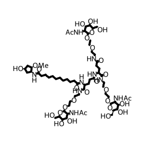 CO[C@H]1C[C@H](O)C[C@H]1NC(=O)CCCCCCCCCCC(=O)NC(CCC(=O)NC(CCC(=O)NCCOCCOC1OC(CO)C(O)C(O)C1NC(C)=O)C(=O)NCCOCCOC1O[C@H](CO)C(O)C(O)C1NC(C)=O)C(=O)NCCOCCOC1OC(CO)C(O)C(O)C1NC(C)=O